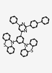 c1ccc(-c2ccc(-c3nc(-c4ccccc4)cc(-c4cc(N5c6ccccc6Sc6ccccc65)cc(N5c6ccccc6Sc6ccccc65)c4)n3)cc2)cc1